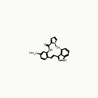 Cn1cccc1C(=O)Nc1cc(C(=O)O)ccc1C=Cc1n[nH]c2ccccc12